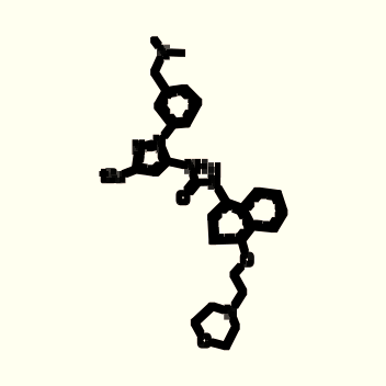 CN(C)Cc1cccc(-n2nc(C(C)(C)C)cc2NC(=O)Nc2ccc(OCCN3CCOCC3)c3ccccc23)c1